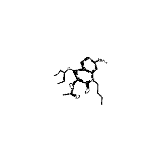 CC=C(CC)Oc1c(OC(C)=O)c(=O)n(CCCC)c2cc(N)ccc12